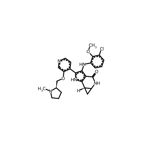 COc1c(Cl)cccc1Nc1c(-c2ccncc2OC[C@H]2CCCN2C)[nH]c2c1C(=O)NC1C[C@H]21